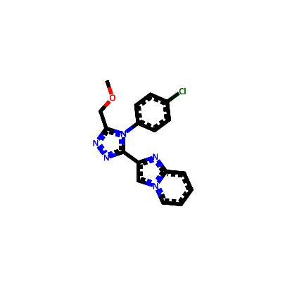 COCc1nnc(-c2cn3ccccc3n2)n1-c1ccc(Cl)cc1